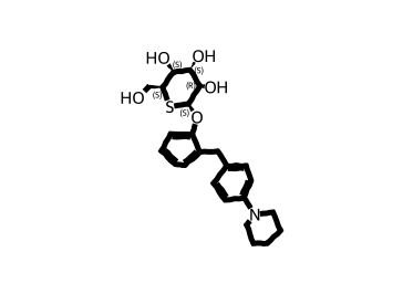 OC[C@@H]1S[C@H](Oc2ccccc2Cc2ccc(N3CCCCC3)cc2)[C@H](O)[C@@H](O)[C@@H]1O